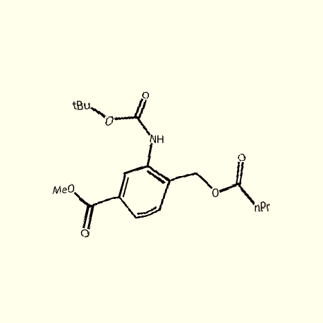 CCCC(=O)OCc1ccc(C(=O)OC)cc1NC(=O)OC(C)(C)C